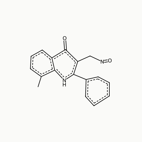 Cc1cccc2c(=O)c(CN=O)c(-c3ccccc3)[nH]c12